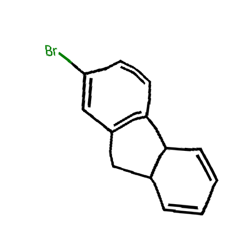 Brc1ccc2c(c1)CC1C=CC=CC21